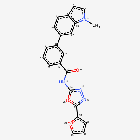 Cn1ccc2ccc(-c3cccc(C(=O)Nc4nnc(-c5ccco5)o4)c3)cc21